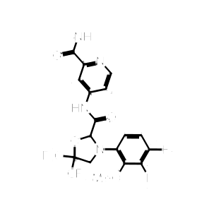 COc1c(N2CC(C(F)(F)F)(C(F)(F)F)OC2C(=O)Nc2ccnc(C(N)=O)c2)ccc(F)c1F